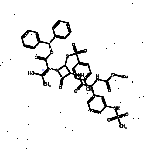 C/C(O)=C(/C(=O)OC(c1ccccc1)c1ccccc1)N1C(=O)C(NC(=O)C(NC(=O)OC(C)(C)C)c2cccc(NS(C)(=O)=O)c2)C1SS(=O)(=O)c1ccc(C)cc1